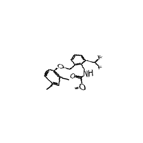 COC(=O)Nc1c(COc2ccc(C)cc2C)cccc1C(F)F